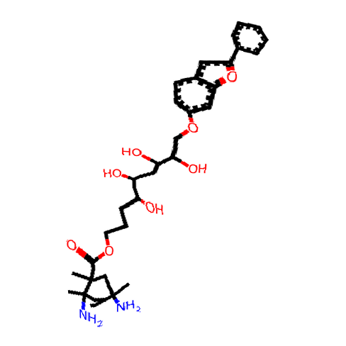 CC(C)(N)CC(C)(C(=O)OCCCC(O)C(O)CC(O)C(O)COc1ccc2cc(-c3ccccc3)oc2c1)C(C)(C)N